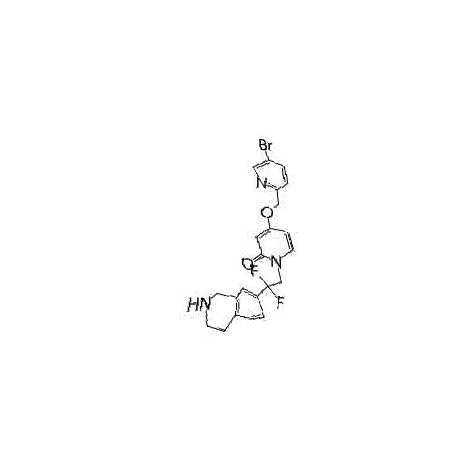 O=c1cc(OCc2ccc(Br)cn2)ccn1CC(F)(F)c1ccc2c(c1)CNCC2